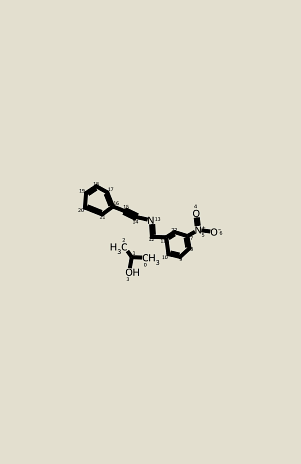 CC(C)O.O=[N+]([O-])c1cccc(C=NC#Cc2ccccc2)c1